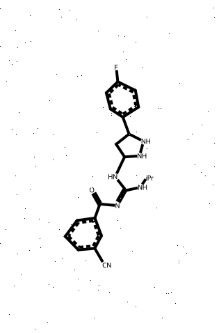 CC(C)N/C(=N/C(=O)c1cccc(C#N)c1)NC1CC(c2ccc(F)cc2)NN1